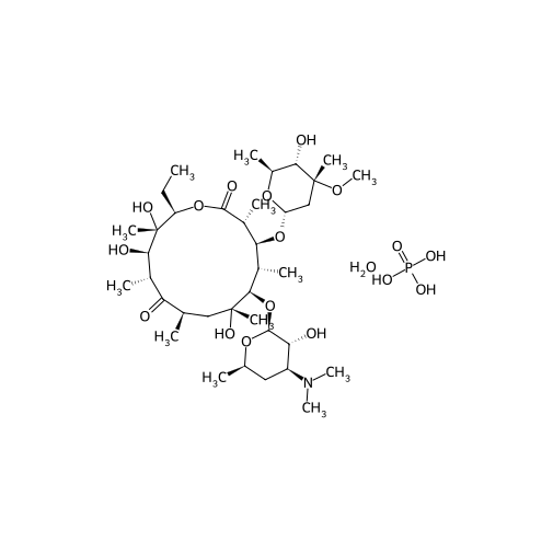 CC[C@H]1OC(=O)[C@H](C)[C@@H](O[C@H]2C[C@@](C)(OC)[C@@H](O)[C@H](C)O2)[C@H](C)[C@@H](O[C@@H]2O[C@H](C)C[C@H](N(C)C)[C@H]2O)[C@](C)(O)C[C@@H](C)C(=O)[C@H](C)[C@@H](O)[C@]1(C)O.O.O=P(O)(O)O